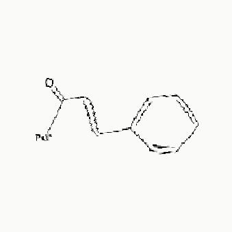 O=[C]([Pd+])C=Cc1ccccc1